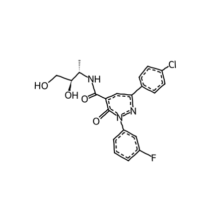 C[C@H](NC(=O)c1cc(-c2ccc(Cl)cc2)nn(-c2cccc(F)c2)c1=O)[C@@H](O)CO